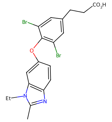 CCn1c(C)nc2ccc(Oc3c(Br)cc(CCC(=O)O)cc3Br)cc21